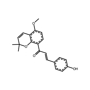 COc1ccc(C(=O)/C=C/c2ccc(O)cc2)c2c1C=CC(C)(C)O2